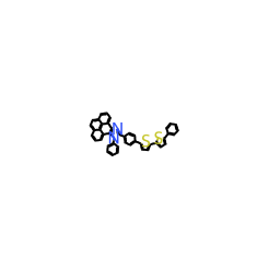 c1ccc(-c2ccc(-c3ccc(-c4ccc(-c5nc6c7cccc8ccc9cccc(c9c87)c6n5-c5ccccc5)cc4)s3)s2)cc1